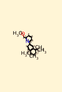 COCc1cccc(-c2ccc3c(c2)C(C)(C)CCC3(C)C)n1